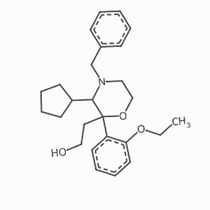 CCOc1ccccc1C1(CCO)OCCN(Cc2ccccc2)C1C1CCCC1